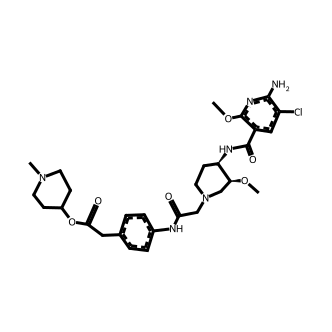 COc1nc(N)c(Cl)cc1C(=O)N[C@@H]1CCN(CC(=O)Nc2ccc(CC(=O)OC3CCN(C)CC3)cc2)C[C@@H]1OC